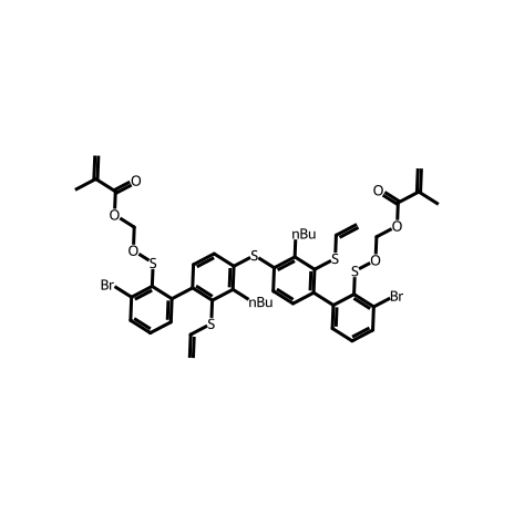 C=CSc1c(-c2cccc(Br)c2SOCOC(=O)C(=C)C)ccc(Sc2ccc(-c3cccc(Br)c3SOCOC(=O)C(=C)C)c(SC=C)c2CCCC)c1CCCC